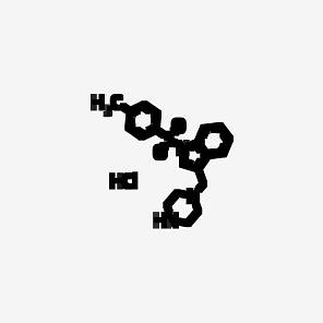 Cc1ccc(S(=O)(=O)n2cc(CN3CCNCC3)c3ccccc32)cc1.Cl